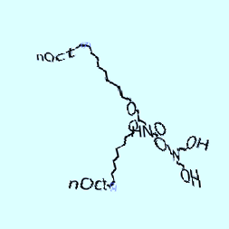 CCCCCCCC/C=C\CCCCCCCCOCC(CNC(=O)OCCN(CCO)CCO)OCCCCCCCC/C=C\CCCCCCCC